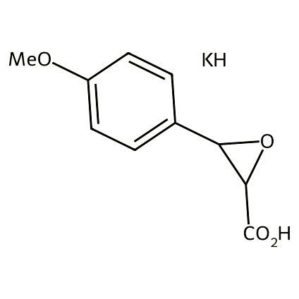 COc1ccc(C2OC2C(=O)O)cc1.[KH]